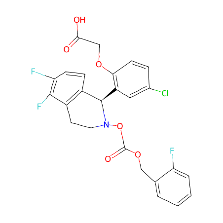 O=C(O)COc1ccc(Cl)cc1[C@@H]1c2ccc(F)c(F)c2CCN1OC(=O)OCc1ccccc1F